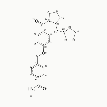 CNC(=O)c1ccc(COc2ccc(C(=O)N3CCCC3CN3CCCC3)cc2)cc1